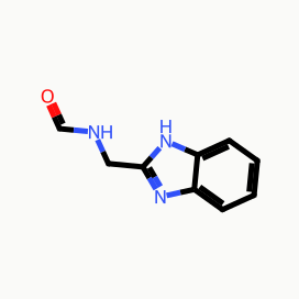 O=CNCc1nc2ccccc2[nH]1